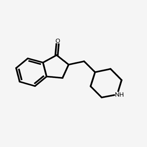 O=C1c2ccccc2CC1CC1CCNCC1